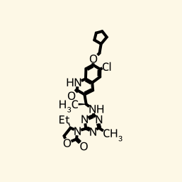 CC[C@H]1COC(=O)N1c1nc(C)nc(N[C@@H](C)c2cc3cc(Cl)c(OCC4CCCC4)cc3[nH]c2=O)n1